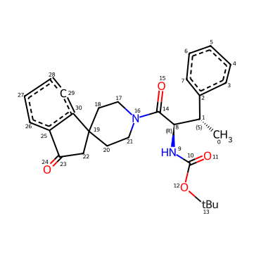 C[C@@H](c1ccccc1)[C@@H](NC(=O)OC(C)(C)C)C(=O)N1CCC2(CC1)CC(=O)c1ccccc12